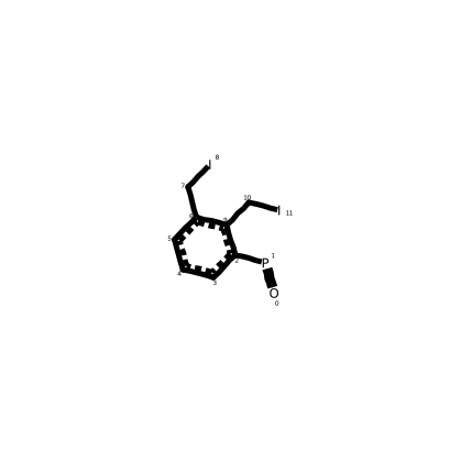 O=Pc1cccc(CI)c1CI